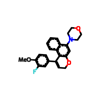 COc1ccc(C2=CCOc3cc(N4CCOCC4)c4ccccc4c32)cc1F